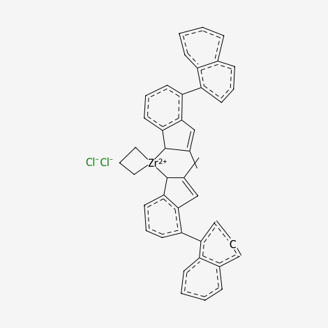 CC1=Cc2c(-c3cccc4ccccc34)cccc2[CH]1[Zr+2]1([CH]2C(C)=Cc3c(-c4cccc5ccccc45)cccc32)[CH2]C[CH2]1.[Cl-].[Cl-]